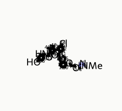 CN/N=C\C(C)OCCOc1cccc2c1CCN(C(=O)c1ccc(Cl)cc1-c1cc(C(=O)Nc3ccc(O)cc3)c(C)n1C)C2